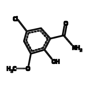 COc1cc(Cl)cc(C(N)=O)c1O